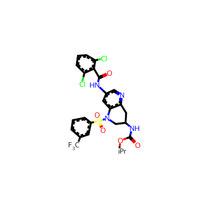 CC(C)OC(=O)NC1Cc2ncc(NC(=O)c3c(Cl)cccc3Cl)cc2N(S(=O)(=O)c2cccc(C(F)(F)F)c2)C1